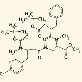 COC(=O)C(CNC(=O)CC(Cc1ccc(Cl)cc1)N(C)C(=O)OC(C)(C)C)N(C)C(=O)C(CC(=O)OC(C)(C)C)Cc1ccccc1